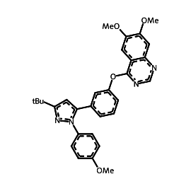 COc1ccc(-n2nc(C(C)(C)C)cc2-c2cccc(Oc3ncnc4cc(OC)c(OC)cc34)c2)cc1